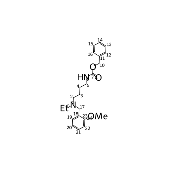 CCN(CCCCNC(=O)OCc1ccccc1)Cc1ccccc1OC